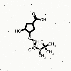 CN([N+]([O-])=NOC1CC(C(=O)O)CC1O)C(C)(C)C